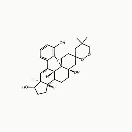 CC1(C)COOC2(CC[C@@]34Cc5c(O)cccc5[C@H]5C[C@]6(C)[C@@H](O)CC[C@H]6[C@H](CC[C@@]3(O)C2)[C@H]54)C1